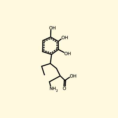 CCC(CC(CN)C(=O)O)c1ccc(O)c(O)c1O